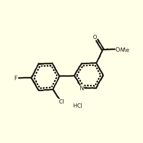 COC(=O)c1ccnc(-c2ccc(F)cc2Cl)c1.Cl